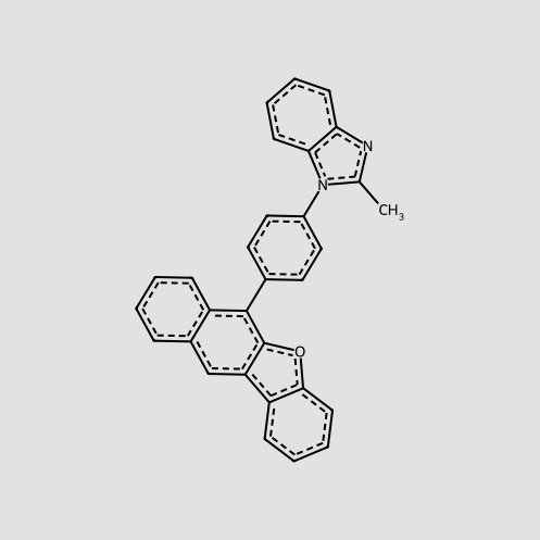 Cc1nc2ccccc2n1-c1ccc(-c2c3ccccc3cc3c2oc2ccccc23)cc1